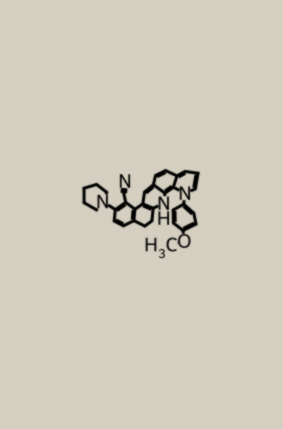 COc1ccc(N2C=CC=c3ccc4c(c32)NC2=C(C=4)c3c(ccc(N4CCCCC4)c3C#N)CC2)cc1